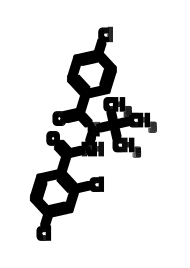 CC(C)(C)N(NC(=O)c1ccc(Cl)cc1Cl)C(=O)c1ccc(Cl)cc1